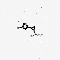 CC(C)(C)N(C(=O)O)C1CC1c1cc(Br)cs1